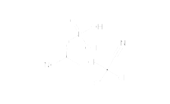 CC(C#N)OP(=O)(O)O.N#CC(Cl)(Cl)Cl